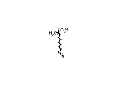 C=C(CCCCCCCN=C=O)C(=O)O